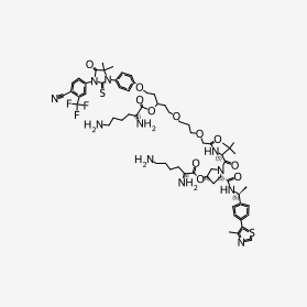 Cc1ncsc1-c1ccc([C@H](C)NC(=O)[C@@H]2C[C@@H](OC(=O)[C@@H](N)CCCCN)CN2C(=O)[C@@H](NC(=O)COCCCOCCC(CCOc2ccc(N3C(=S)N(c4ccc(C#N)c(C(F)(F)F)c4)C(=O)C3(C)C)cc2)OC(=O)[C@@H](N)CCCCN)C(C)(C)C)cc1